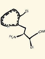 CC[C@H](OC)[C@@H](N)Cc1ncccc1C#N